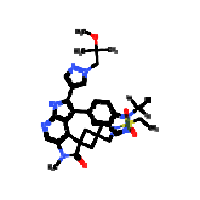 [2H]C([2H])([2H])n1ncc2cc(-c3c(-c4cnn(CC(C)(C)OC)c4)[nH]c4ncc5c(c34)C3(CC4(CN(S(=O)(=O)CC)C4)C3)C(=O)N5C)ccc21